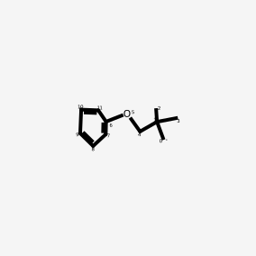 [CH2]C(C)(C)COc1ccccc1